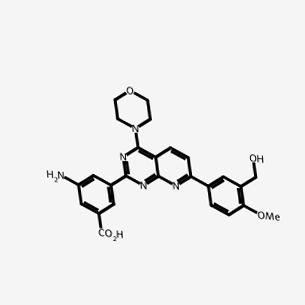 COc1ccc(-c2ccc3c(N4CCOCC4)nc(-c4cc(N)cc(C(=O)O)c4)nc3n2)cc1CO